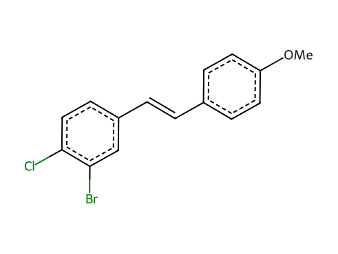 COc1ccc(C=Cc2ccc(Cl)c(Br)c2)cc1